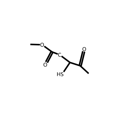 COC(=O)CC(S)C(C)=O